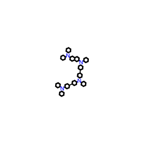 c1ccc(N(c2ccccc2)c2ccc(-c3ccc(N(c4ccccc4)c4ccc(-c5ccc(N(c6ccccc6)c6ccc7cc(N(c8ccccc8)c8ccccc8)ccc7c6)cc5)cc4)cc3)cc2)cc1